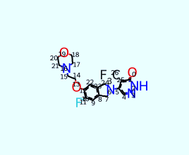 O=c1[nH]ncc(N2Cc3cc(F)c(OCCN4CCOCC4)cc3C2)c1C(F)(F)F